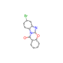 O=c1c2ccccc2oc2nc3cc(Br)ccc3n12